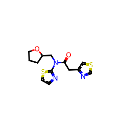 O=C(Cc1cscn1)N(CC1CCCO1)c1nccs1